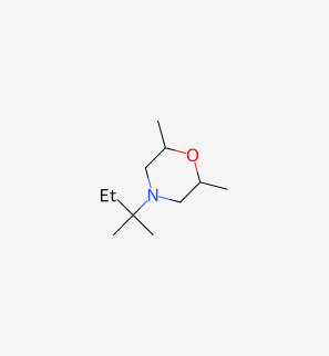 [CH2]CC(C)(C)N1CC(C)OC(C)C1